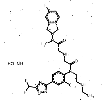 CCNCCN(C(=O)CNCC(=O)N(C)N1Cc2ccc(F)cc2C1)c1ccc(-c2noc(C(F)F)n2)cc1C.Cl.Cl